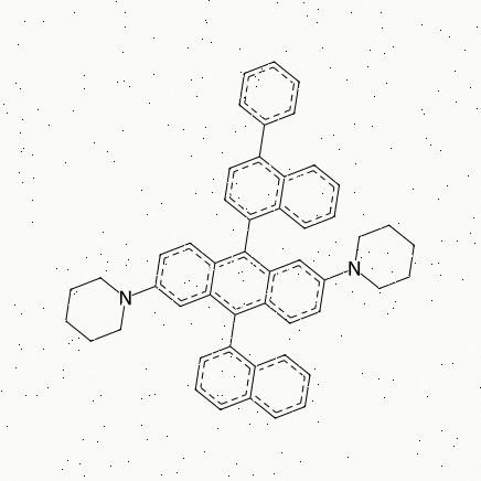 c1ccc(-c2ccc(-c3c4ccc(N5CCCCC5)cc4c(-c4cccc5ccccc45)c4ccc(N5CCCCC5)cc34)c3ccccc23)cc1